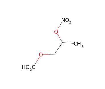 CC(COC(=O)O)O[N+](=O)[O-]